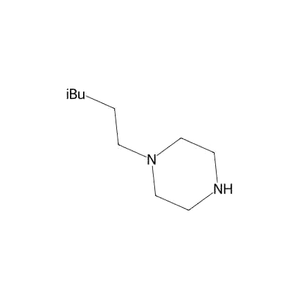 CCC(C)CCN1CCNCC1